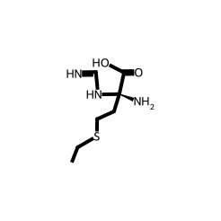 CCSCC[C@](N)(NC=N)C(=O)O